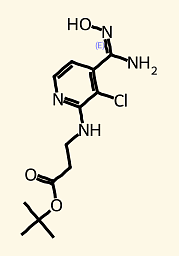 CC(C)(C)OC(=O)CCNc1nccc(/C(N)=N\O)c1Cl